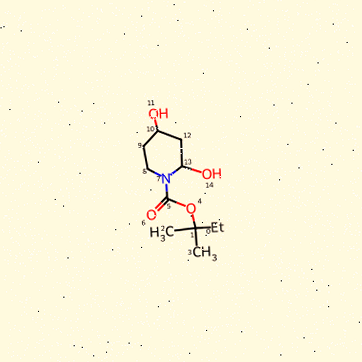 CCC(C)(C)OC(=O)N1CCC(O)CC1O